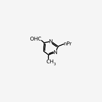 CCCc1nc(C)cc(C=O)n1